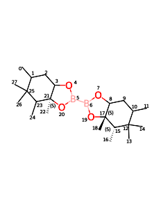 CC1CC2OB(B3OC4CC(C)C(C)(C)[C@H](C)[C@]4(C)O3)O[C@@]2(C)C(C)C1(C)C